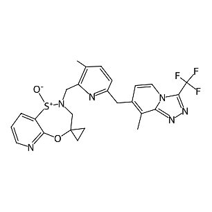 Cc1ccc(Cc2ccn3c(C(F)(F)F)nnc3c2C)nc1CN1CC2(CC2)Oc2ncccc2[S+]1[O-]